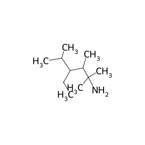 CCC(C(C)C)C(C)C(C)(C)N